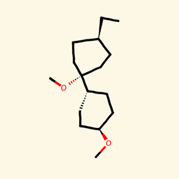 CC[C@H]1CC[C@@](OC)([C@H]2CC[C@H](OC)CC2)CC1